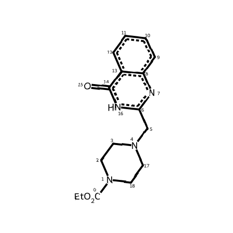 CCOC(=O)N1CCN(Cc2nc3ccccc3c(=O)[nH]2)CC1